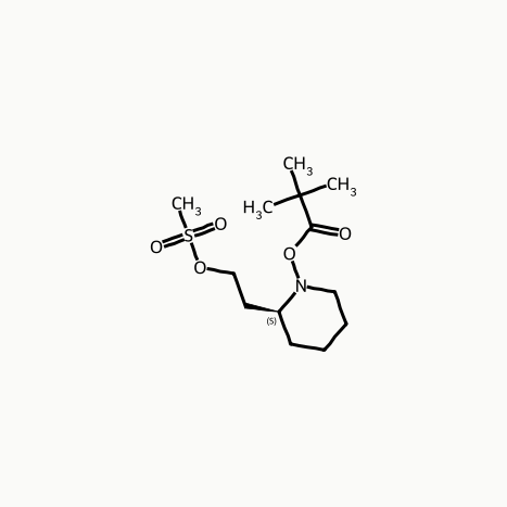 CC(C)(C)C(=O)ON1CCCC[C@H]1CCOS(C)(=O)=O